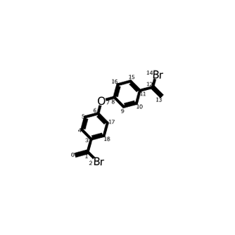 C=C(Br)c1ccc(Oc2ccc(C(=C)Br)cc2)cc1